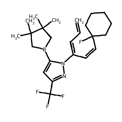 C=C/C=C(\C=C/C1(F)CCCCC1)n1nc(C(F)(F)F)cc1B1CC(C)(C)C(C)(C)C1